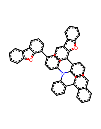 c1ccc(N(c2ccc(-c3cccc4c3oc3ccccc34)cc2)c2ccccc2-c2cccc3c2oc2ccccc23)c(-c2cccc3ccccc23)c1